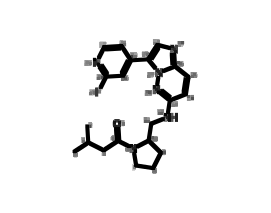 CC(C)CC(=O)N1CCCC1CNc1ccc2ncc(-c3ccnc(F)c3)n2n1